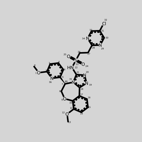 COc1cccc([C@@H]2COc3c(OC)cccc3-c3nnc(NS(=O)(=O)CCc4ncc(Cl)cn4)n32)n1